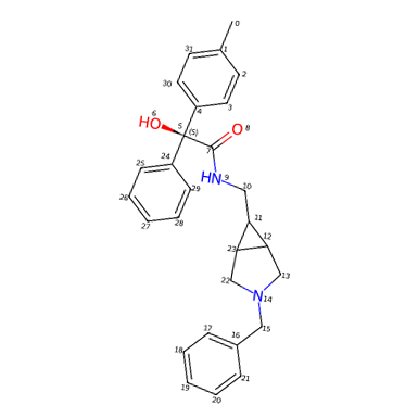 Cc1ccc([C@](O)(C(=O)NCC2C3CN(Cc4ccccc4)CC23)c2ccccc2)cc1